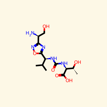 CC(C)[C@H](NC(=O)N[C@H](C(=O)O)[C@@H](C)O)c1nc([C@@H](N)CO)no1